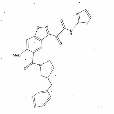 COc1cc2onc(C(=O)C(=O)Nc3nccs3)c2cc1C(=O)N1CCC(Cc2ccccc2)C1